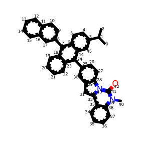 CC(C)c1ccc2c(-c3ccc4ccccc4c3)c3ccccc3c(-c3ccc4c(c3)cc3c5ccccc5n(C)c(=O)n43)c2c1